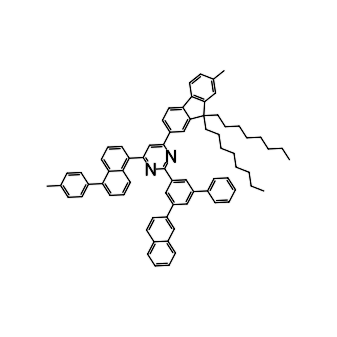 CCCCCCCCC1(CCCCCCCC)c2cc(C)ccc2-c2ccc(-c3cc(-c4cccc5c(-c6ccc(C)cc6)cccc45)nc(-c4cc(-c5ccccc5)cc(-c5ccc6ccccc6c5)c4)n3)cc21